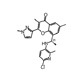 Cc1cc([C@@H](C)Nc2ccc(Cl)nc2C)c2oc(-c3ccn(C)n3)c(C)c(=O)c2c1